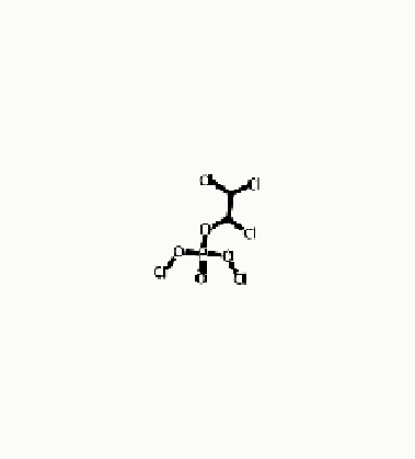 O=P(OCl)(OCl)OC(Cl)C(Cl)Cl